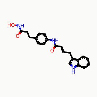 O=C(C=CCc1c[nH]c2ccccc12)Nc1ccc(CCC(=O)NO)cc1